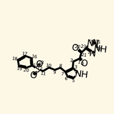 O=C(Cc1[nH]ccc1CCCCS(=O)(=O)c1ccccc1)C(=O)c1nn[nH]n1